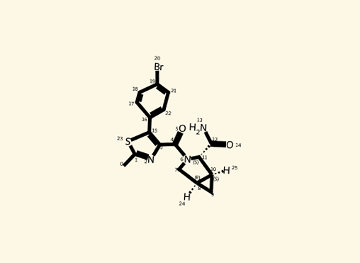 Cc1nc(C(=O)N2C[C@@H]3C[C@@H]3[C@H]2C(N)=O)c(-c2ccc(Br)cc2)s1